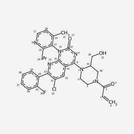 C=CC(=O)N1CCN(c2nc(=O)n(-c3c(C)ccnc3C(C)C)c3nc(-c4ccccc4F)c(Cl)cc23)C(CO)C1